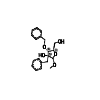 COC1O[C@H](CO)[C@@H](OCc2ccccc2)[C@@]1(O)Cc1ccccc1